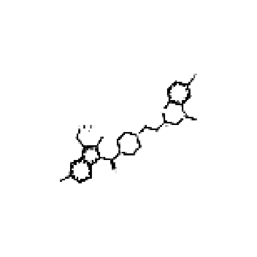 Cc1ccc2c(c1)c(CC(=O)O)c(C)n2C(=O)N1CCN(CC[C@@H]2CN(C)c3cc(F)ccc3O2)CC1